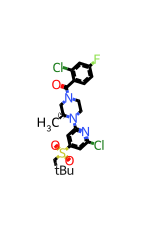 C[C@H]1CN(C(=O)c2ccc(F)cc2Cl)CCN1c1cc(S(=O)(=O)CC(C)(C)C)cc(Cl)n1